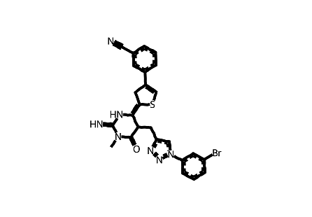 CN1C(=N)N/C(=C2\CC(c3cccc(C#N)c3)=CS2)C(Cc2cn(-c3cccc(Br)c3)nn2)C1=O